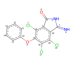 N=C1NC(=O)c2c(Cl)c(Oc3ccccc3)c(Cl)c(Cl)c21